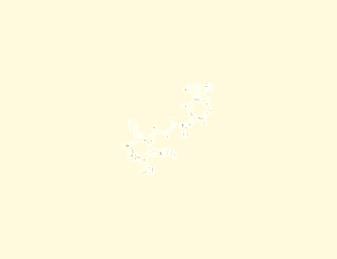 CCOC(=O)c1cccc(NCCCc2c(Cl)nnc(Cl)c2C)c1